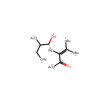 CC(=O)OCC(CO)OC(C)=O.CCCCC(CCCC)=C(C#N)C(=O)OC(C)=O